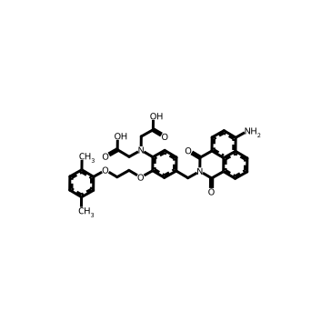 Cc1ccc(C)c(OCCOc2cc(CN3C(=O)c4cccc5c(N)ccc(c45)C3=O)ccc2N(CC(=O)O)CC(=O)O)c1